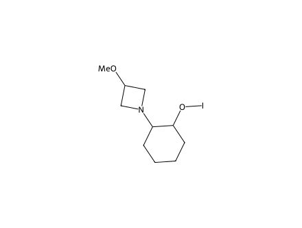 COC1CN(C2CCCCC2OI)C1